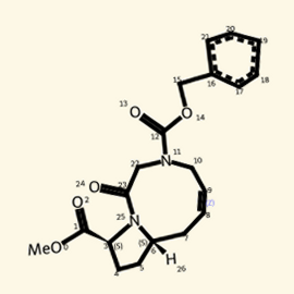 COC(=O)[C@@H]1CC[C@H]2C/C=C\CN(C(=O)OCc3ccccc3)CC(=O)N21